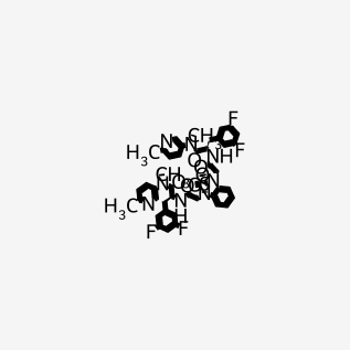 Cc1ccc(N(C)C(=O)[C@H](Cc2cc(F)cc(F)c2)NC(=O)CN2c3ccccc3N(CC(=O)N[C@@H](Cc3cc(F)cc(F)c3)C(=O)N(C)c3ccc(C)nc3)S2(=O)=O)cn1